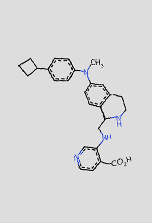 CN(c1ccc(C2CCC2)cc1)c1ccc2c(c1)CCNC2CNc1cnccc1C(=O)O